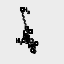 CCCCCCCCCCOc1ccc(F)c(CN2C(=O)C(C)Sc3cc(C(=O)NCc4ccco4)ccc32)c1Cl